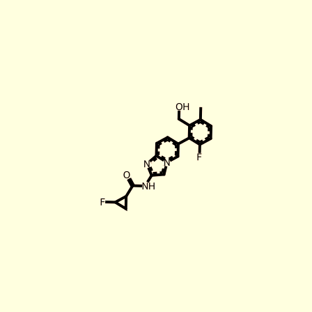 Cc1ccc(F)c(-c2ccc3nc(NC(=O)C4CC4F)cn3c2)c1CO